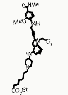 CCOC(=O)CCCCCCN1CCC(Nc2cccc3c2cc(C#CCNc2ccc(C(=O)NC)cc2OC)n3CC(F)(F)F)CC1